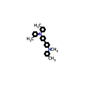 Cc1cccc(N(C)c2ccc(-c3ccc(N(c4cccc(C)c4)c4cccc(C)c4)cc3)cc2)c1